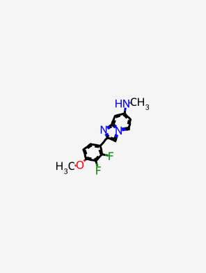 CNc1ccn2cc(-c3ccc(OC)c(F)c3F)nc2c1